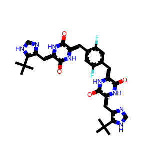 CC(C)(C)c1[nH]cnc1/C=c1\[nH]c(=O)/c(=C/c2cc(F)c(/C=c3\[nH]c(=O)/c(=C/c4nc[nH]c4C(C)(C)C)[nH]c3=O)cc2F)[nH]c1=O